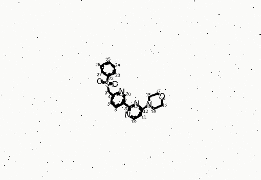 O=S(=O)(Cc1ccc(-c2nccc(N3CCOCC3)n2)cn1)c1ccccc1